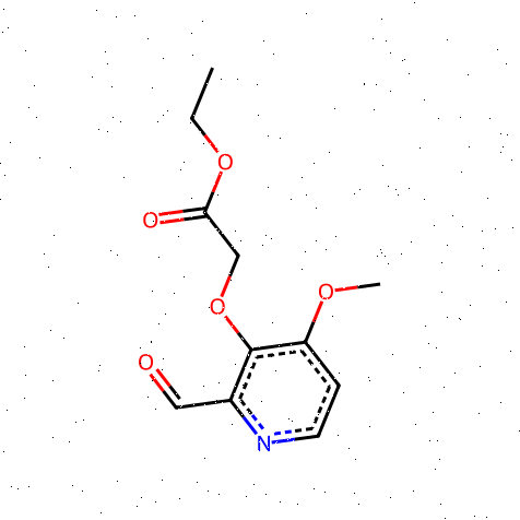 CCOC(=O)COc1c(OC)ccnc1C=O